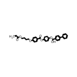 C=CC(=O)OCCCCOc1ccc(C(=O)OC2=CC=C(OC(O)c3ccc(-c4ccccc4)cc3)CC2)cc1